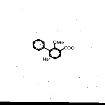 COc1c(C(=O)[O-])cccc1-c1ccccc1.[Na+]